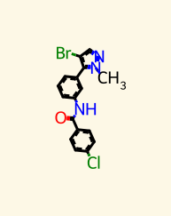 Cn1ncc(Br)c1-c1cccc(NC(=O)c2ccc(Cl)cc2)c1